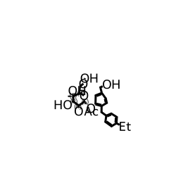 CCc1ccc(Cc2ccc(CO)cc2O[C@@H]2O[C@H](COO)[C@@](C)(O)[C@H](O)[C@H]2OC(C)=O)cc1